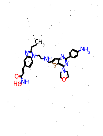 CCCc1nc2cc(/C=C/C(=O)NO)ccc2n1CCNCc1cc2nc(-c3ccc(N)cc3)nc(N3CCOCC3)c2s1